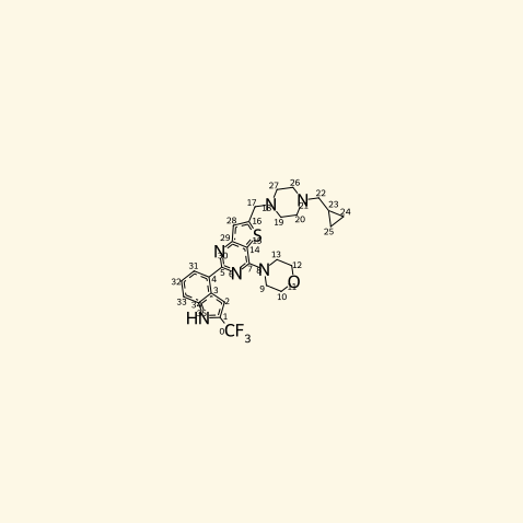 FC(F)(F)c1cc2c(-c3nc(N4CCOCC4)c4sc(CN5CCN(CC6CC6)CC5)cc4n3)cccc2[nH]1